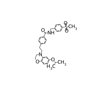 CC(C)Oc1ccc2c(c1)N(CCc1ccc(C(=O)NCc3ccc(S(C)(=O)=O)cc3)cc1)CCO2